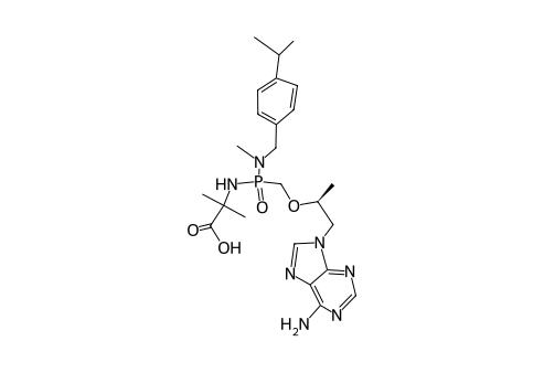 CC(C)c1ccc(CN(C)P(=O)(CO[C@@H](C)Cn2cnc3c(N)ncnc32)NC(C)(C)C(=O)O)cc1